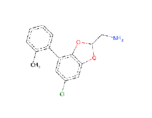 Cc1ccccc1-c1cc(Cl)cc2c1OC(CN)O2